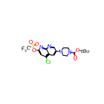 CC(C)(C)OC(=O)N1CCN(c2cnc3nc(OS(=O)(=O)C(F)(F)F)cc(Cl)c3c2)CC1